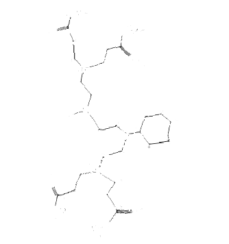 CCC(C)N(CCN(CCC(=O)OC)CCC(=O)OC)CCN(CCN(CCC(=O)OC)CCC(=O)OC)C1CCCCC1